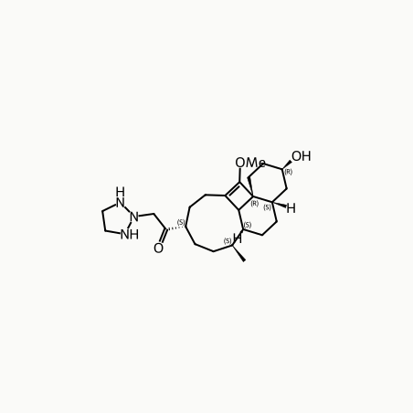 COC1=C2CC[C@@H](C(=O)CN3NCCN3)CC[C@H](C)[C@@H]3CC[C@H]4C[C@H](O)CC[C@@]14C23